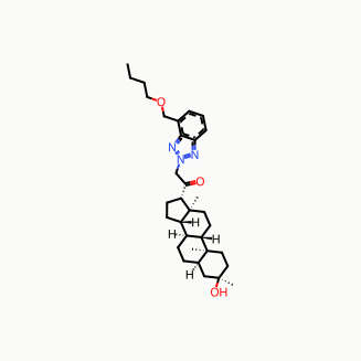 CCCCOCc1cccc2nn(CC(=O)[C@H]3CC[C@H]4[C@@H]5CC[C@@H]6C[C@](C)(O)CC[C@]6(C)[C@H]5CC[C@]34C)nc12